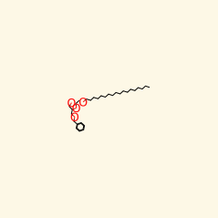 CCCCCCCCCCCCCCCCCCOCC1OCC(COCc2ccccc2)O1